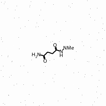 CNNC(=O)CCC(N)=O